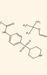 CC(=O)Nc1ccc(S(=O)(=O)C2CCNCC2)cc1.CC(C)(C)OC=O